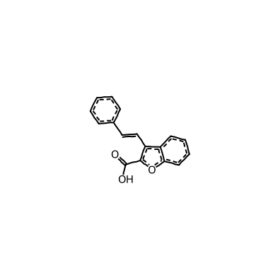 O=C(O)c1oc2ccccc2c1C=Cc1ccccc1